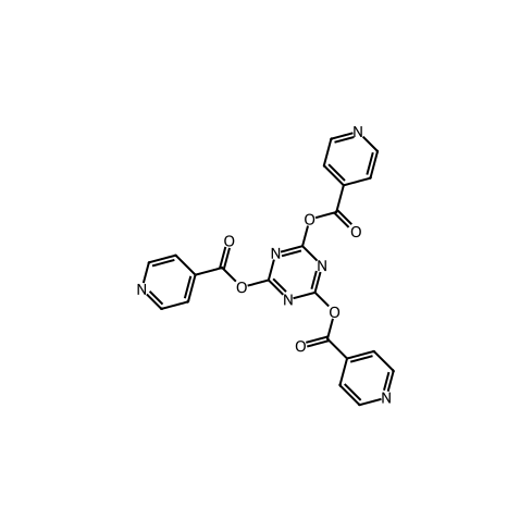 O=C(Oc1nc(OC(=O)c2ccncc2)nc(OC(=O)c2ccncc2)n1)c1ccncc1